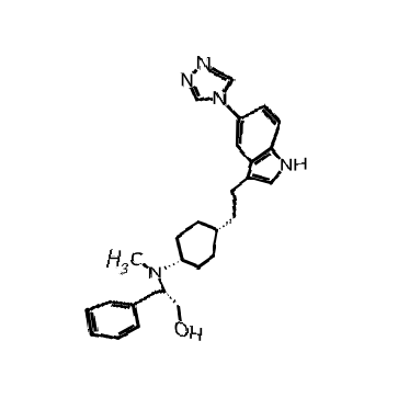 CN([C@H]1CC[C@@H](CCc2c[nH]c3ccc(-n4cnnc4)cc23)CC1)[C@H](CO)c1ccccc1